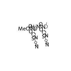 COC(=O)C(=O)N1C[C@@H](C)CC[C@@H]1c1ccc2sc(C3CC4(C3)CN(C)C4)nc2c1.C[C@H]1CC[C@H](c2ccc3sc(C4CC5(C4)CN(C)C5)nc3c2)N(C(=O)C(N)=O)C1